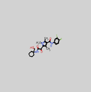 Cc1c(C(=O)Nc2ccc(F)c(F)c2)c(C)n(C)c1C(=O)C(=O)NC1(CO)CCCCC1